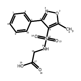 Cc1onc(-c2ccccc2)c1S(=O)(=O)NCC(=O)O